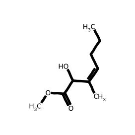 CCCC=C(C)C(O)C(=O)OC